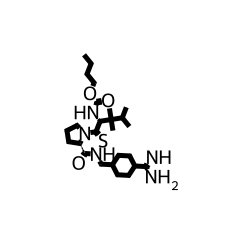 CCCCOC(=O)N[C@H](C(=S)N1CCC[C@H]1C(=O)NCC1CCC(C(=N)N)CC1)C(C)(C)C(C)C